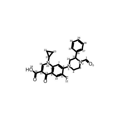 O=CN1CCN(c2cc3c(cc2F)c(=O)c(C(=O)O)cn3C2CC2)CC1c1ccccc1